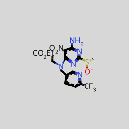 CCOC(=O)CN(Cc1ccc(C(F)(F)F)nc1)c1nc([S+](C)[O-])nc(N)c1[N+](=O)[O-]